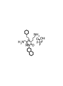 NCCCC(C(=O)Nc1ccc2ccccc2c1)N(CCc1ccccc1)C(=O)CN.O=C(O)C(F)(F)F